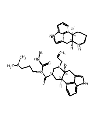 C=CCN1C[C@H](C(=O)N(CCCN(C)C)C(=O)NCC)C[C@@H]2c3cccc4[nH]cc(c34)C[C@H]21.c1cc2c3c(c[nH]c3c1)C[C@H]1NCCC[C@H]21